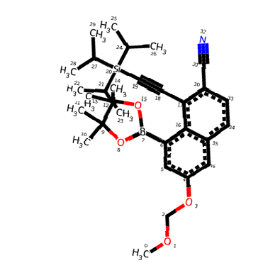 COCOc1cc(B2OC(C)(C)C(C)(C)O2)c2c(C#C[Si](C(C)C)(C(C)C)C(C)C)c(C#N)ccc2c1